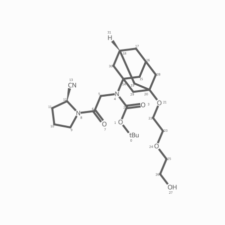 CC(C)(C)OC(=O)N(CC(=O)N1CCC[C@H]1C#N)C12CC3C[C@H](CC(OCCOCCO)(C3)C1)C2